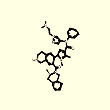 Cc1c(C(=O)N(c2ccccc2)c2cnn(CCN(C)C)c2)cc(-c2cc3c(cc2C(=O)N2Cc4ccccc4C[C@H]2C)CNCC3)n1C